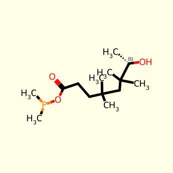 C[C@H](O)C(C)(C)CC(C)(C)CCC(=O)OP(C)C